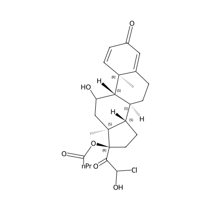 CCCC(=O)O[C@]1(C(=O)C(O)Cl)CC[C@H]2[C@@H]3CCC4=CC(=O)C=C[C@]4(C)[C@H]3C(O)C[C@@]21C